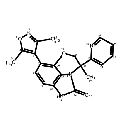 Cc1noc(C)c1-c1ccc2[nH]c(=O)n3c2c1OCC3(C)c1ccccn1